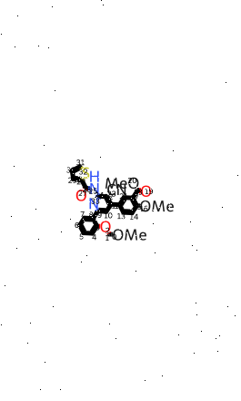 COCOc1ccccc1-c1cc(-c2ccc(OC)c(C(=O)OC)c2)c(C#N)c(NC(=O)c2cccs2)n1